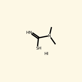 CN(C)C(=N)S.I